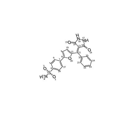 NS(=O)(=O)c1ccc(-c2ccc(C(=C3C(=O)NNC3=O)c3ccccc3)o2)cc1